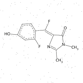 CC1=NC(=C(F)c2ccc(O)cc2F)C(=O)N1C